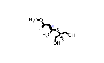 COC(=O)/C=C(\C)SP(=S)(CO)CO